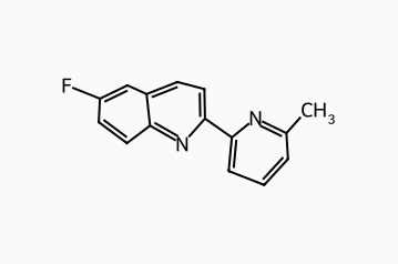 Cc1cccc(-c2ccc3cc(F)ccc3n2)n1